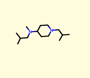 CC(C)CN1CCC(N(C)CC(C)C)CC1